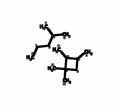 CCC[C](C)C.C[C]1CC(C)(C)C1C